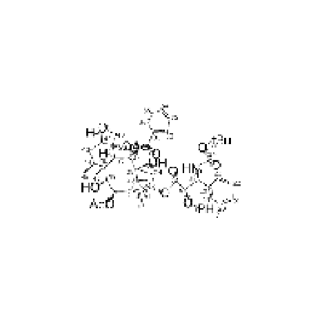 CC(=O)O[C@@H]1C2=C(C)[C@@H](OC(=O)[C@H](OP)[C@@H](NC(=O)OC(C)(C)C)c3ccccc3)C[C@@](O)([C@@H](OC(=O)c3ccccc3)[C@@H]3[C@]4(OC(C)=O)CO[C@@H]4C[C@H](C)[C@@]3(C)[C@H]1O)C2(C)C